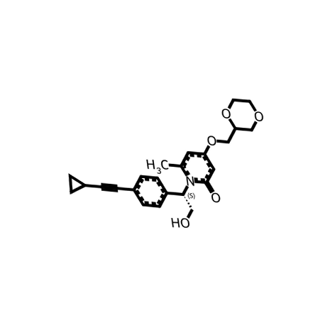 Cc1cc(OCC2COCCO2)cc(=O)n1[C@H](CO)c1ccc(C#CC2CC2)cc1